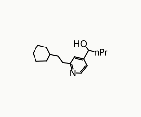 CCCC(O)c1ccnc(CCC2CCCCC2)c1